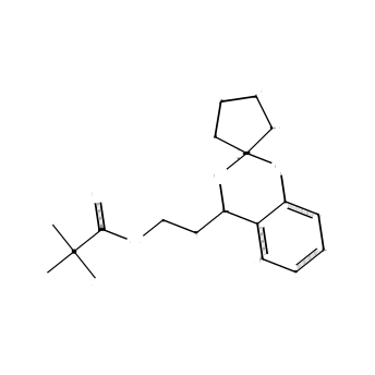 CC(C)(C)C(=O)OCCC1OC2(CCCC2)Oc2ccccc21